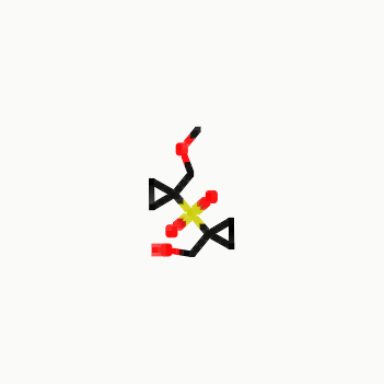 COCC1(S(=O)(=O)C2(CO)CC2)CC1